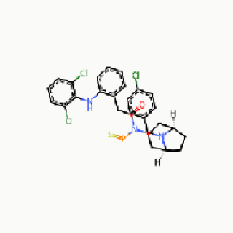 O=C(Cc1ccccc1Nc1c(Cl)cccc1Cl)N(P=S)[C@H]1C[C@H]2CC[C@@H](C1)N2Cc1ccc(Cl)cc1